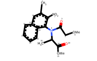 COCC(=O)N(c1c([N+](=O)[O-])c(C)cc2ccccc12)C(C)C(=O)OC